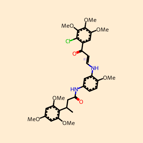 COc1cc(OC)c(C(C)CC(=O)Nc2ccc(OC)c(N/C=C/C(=O)c3cc(OC)c(OC)c(OC)c3Cl)c2)c(OC)c1